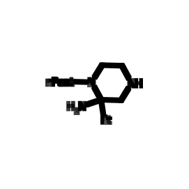 CCCCCN1CCNCC1(N)CC